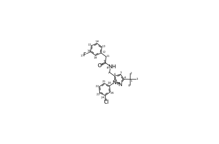 CC(C)(C)c1cc(CNC(=O)Cc2cccc(F)c2)n(-c2cccc(Cl)c2)n1